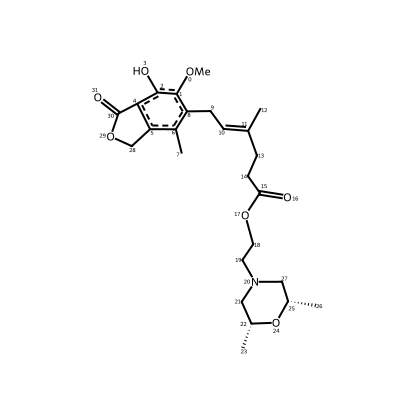 COc1c(O)c2c(c(C)c1C/C=C(\C)CCC(=O)OCCN1C[C@@H](C)O[C@@H](C)C1)COC2=O